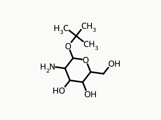 CC(C)(C)OC1OC(CO)C(O)C(O)C1N